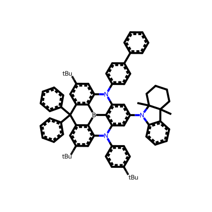 CC(C)(C)c1ccc(N2c3cc(N4c5ccccc5C5(C)CCCCC45C)cc4c3B3c5c(cc(C(C)(C)C)cc5C(c5ccccc5)(c5ccccc5)c5cc(C(C)(C)C)cc2c53)N4c2ccc(-c3ccccc3)cc2)cc1